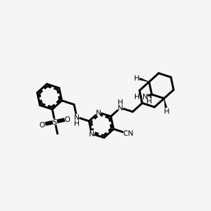 CS(=O)(=O)c1ccccc1CNc1ncc(C#N)c(NCC2C[C@H]3CCC[C@@H](C2)[C@@H]3N)n1